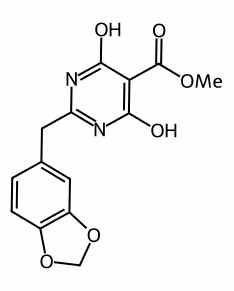 COC(=O)c1c(O)nc(Cc2ccc3c(c2)OCO3)nc1O